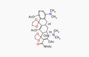 CC(=O)NC(=O)C1=C(OC(C)=O)[C@@H](N(C)C)[C@@H]2C[C@@H]3Cc4c(N(C)C)ccc(OC(C)=O)c4C4(OCCO4)C3=C(OC(C)=O)[C@]2(OC(C)=O)C12OCCO2